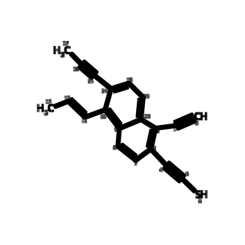 C#Cc1c(C#CS)ccc2c(C=CC)c(C#CC)ccc12